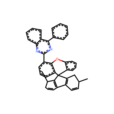 CC1C=CC2=C(C1)C1(C3=C2C=CCC3C)c2ccccc2Oc2c(-c3nc(-c4ccccc4)c4ccccc4n3)cccc21